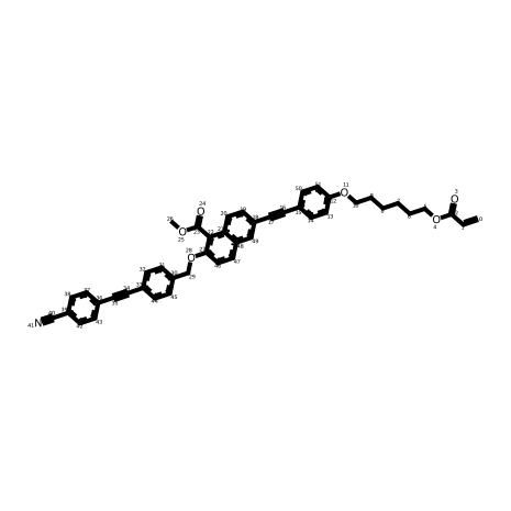 C=CC(=O)OCCCCCCOc1ccc(C#Cc2ccc3c(C(=O)OC)c(OCc4ccc(C#Cc5ccc(C#N)cc5)cc4)ccc3c2)cc1